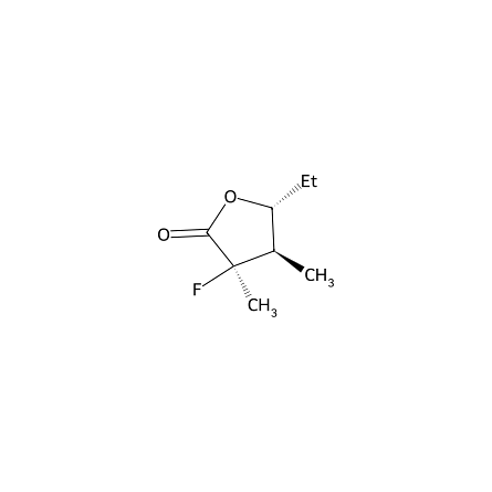 CC[C@H]1OC(=O)[C@](C)(F)[C@@H]1C